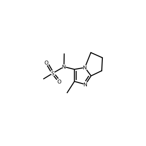 Cc1nc2n(c1N(C)S(C)(=O)=O)CCC2